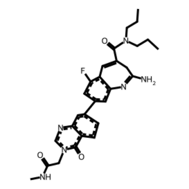 CCCN(CCC)C(=O)C1=Cc2c(F)cc(-c3ccc4c(=O)n(CC(=O)NC)cnc4c3)cc2N=C(N)C1